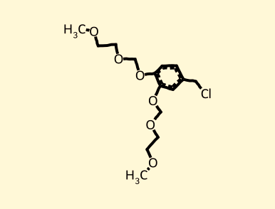 COCCOCOc1ccc(CCl)cc1OCOCCOC